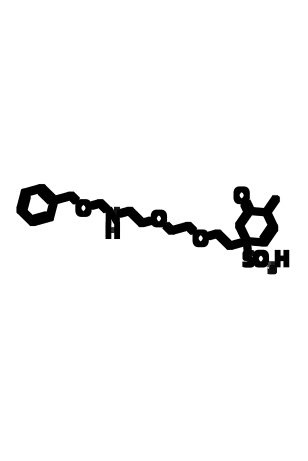 CC1C=CC(CCOCCOCCNCOCc2ccccc2)(S(=O)(=O)O)CC1=O